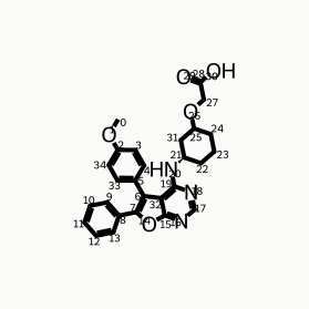 COc1ccc(-c2c(-c3ccccc3)oc3ncnc(N[C@H]4CCCC(OCC(=O)O)C4)c23)cc1